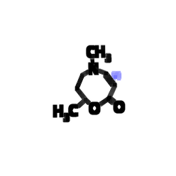 CC1CCN(C)/C=C\C(=O)O1